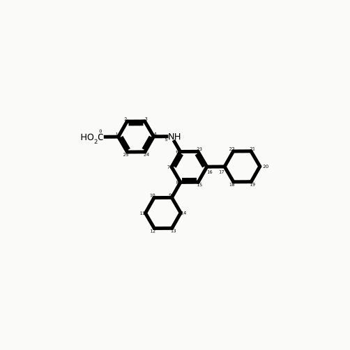 O=C(O)c1ccc(Nc2cc(C3CCCCC3)cc(C3CCCCC3)c2)cc1